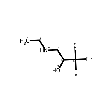 CCNCC(O)C(F)(F)F